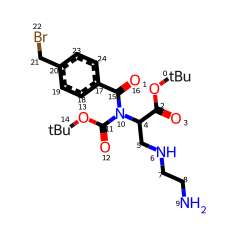 CC(C)(C)OC(=O)C(CNCCN)N(C(=O)OC(C)(C)C)C(=O)c1ccc(CBr)cc1